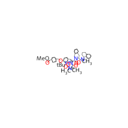 COC(=O)c1ccc(COc2ccc(C[C@H](NC(=O)[C@H](C)N(C)C(=O)OC(C)(C)C)C(=O)N3Cc4ccccc4CC3C(=O)N(C)C3CCCc4ccccc43)cc2)cc1